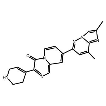 Cc1cn2nc(-c3ccn4c(=O)c(C5=CCNCC5)ncc4c3)cc(C)c2n1